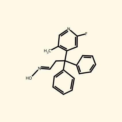 Cc1cnc(F)cc1C(CC=NO)(c1ccccc1)c1ccccc1